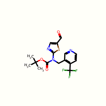 CC(C)(C)OC(=O)N(Cc1cnccc1C(F)(F)F)c1ncc(C=O)s1